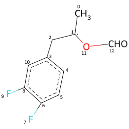 C[C](Cc1ccc(F)c(F)c1)OC=O